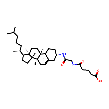 CC(C)CCC[C@@H](C)C1CC[C@H]2[C@@H]3CC=C4C[C@@H](NC(=O)CNC(=O)CCCC(=O)O)CC[C@]4(C)[C@H]3CC[C@]12C